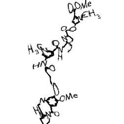 COC(=O)c1cc(OC(=O)C2CSC(NC(=O)c3cc(NC(=O)CCCOc4cc5c(cc4OC)C(=O)N4CCC[C@H]4C=N5)cn3C)=N2)cn1C